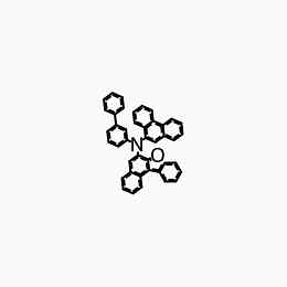 c1ccc(-c2cccc(N(c3cc4ccccc4c4ccccc34)c3cc4ccccc4c4c3oc3ccccc34)c2)cc1